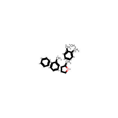 C.CC1CCCO1.Cc1ccccc1.Cc1ccccc1C.c1ccccc1